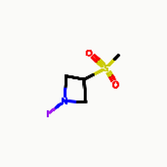 CS(=O)(=O)C1CN(I)C1